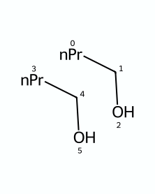 CCCCO.CCCCO